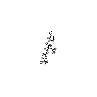 COc1ccc(CN2C(=O)C([C@@H](C)OC(=O)OCC(Cl)(Cl)Cl)C2C(=O)O)cc1